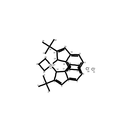 CC(C)(C)C1=Cc2ccccc2[CH]1[Zr+2]1([CH]2C(C(C)(C)C)=Cc3ccccc32)[CH2]C[CH2]1.[Cl-].[Cl-]